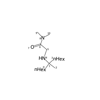 CCCCCCC(C)(CCCCCC)NCC(=O)N(C)C